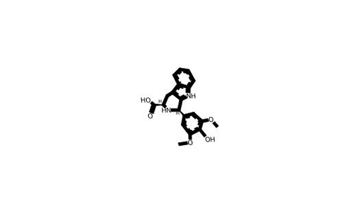 COc1cc([C@H]2N[C@@H](C(=O)O)Cc3c2[nH]c2ccccc32)cc(OC)c1O